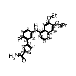 CCOc1cc2c(Nc3ccc(F)c(-c4csc(C(N)=O)n4)c3)ncnc2cc1OC(C)C